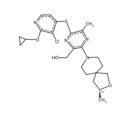 Cc1nc(N2CCC3(CC2)CO[C@@H](C)C3)c(CO)nc1Sc1ccnc(OC2CC2)c1Cl